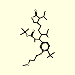 COCCCOc1cc(C(NC(=O)OC(C)(C)C)C(CCC2COC(=O)C2C(C)C)C(C)C)ccc1C(C)(C)C